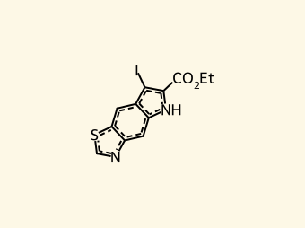 CCOC(=O)c1[nH]c2cc3ncsc3cc2c1I